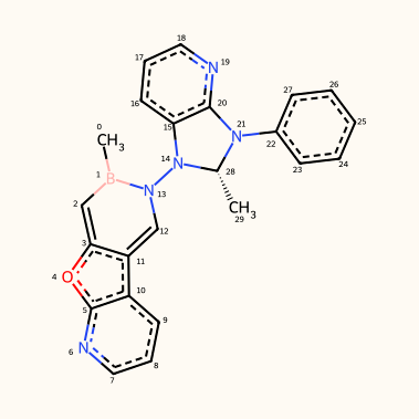 CB1C=c2oc3ncccc3c2=CN1N1c2cccnc2N(c2ccccc2)[C@@H]1C